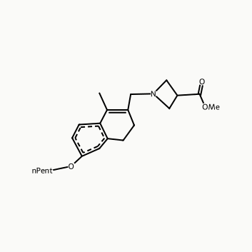 CCCCCOc1ccc2c(c1)CCC(CN1CC(C(=O)OC)C1)=C2C